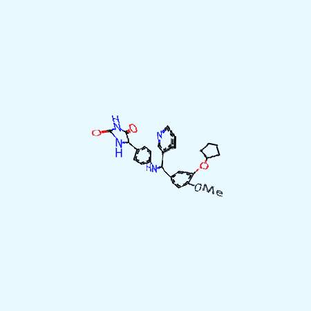 COc1ccc(C(Nc2ccc(C3NC(=O)NC3=O)cc2)c2cccnc2)cc1OC1CCCC1